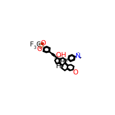 CN(C)c1ccc([C@H]2C[C@@]3(C)[C@@H](CC[C@@]3(O)C#Cc3ccc(S(=O)(=O)C(F)(F)F)cc3)[C@@H]3CCC4=CC(=O)CCC4=C32)cc1